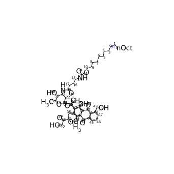 CCCCCCCC/C=C\CCCCCCCCOC(=O)NCCCC(=O)NC1C[C@H](O[C@@H](C)c2c(O)c3c(c(C)c2C[C@@H](O)C(=O)CO)C(=O)c2cccc(CO)c2C3=O)OC(C)C1O